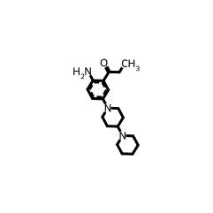 CCC(=O)c1cc(N2CCC(N3CCCCC3)CC2)ccc1N